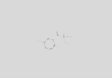 CCCC1(Cl)C(=O)c2cc(I)ccc2OC1Cl